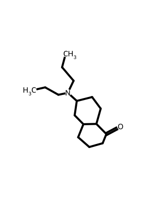 CCCN(CCC)C1CCC2C(=O)CCCC2C1